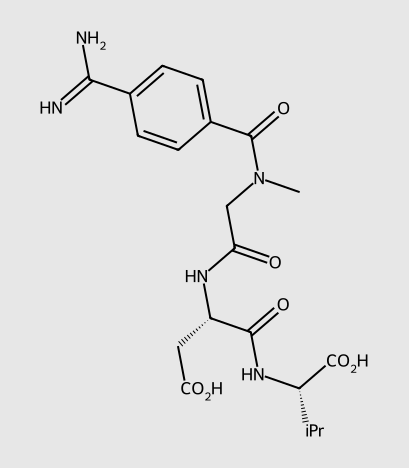 CC(C)[C@H](NC(=O)[C@H](CC(=O)O)NC(=O)CN(C)C(=O)c1ccc(C(=N)N)cc1)C(=O)O